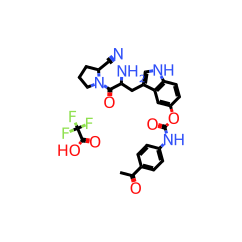 CC(=O)c1ccc(NC(=O)Oc2ccc3[nH]cc(CC(N)C(=O)N4CCCC4C#N)c3c2)cc1.O=C(O)C(F)(F)F